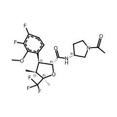 COc1c([C@H]2[C@H](C(=O)N[C@@H]3CCN(C(C)=O)C3)O[C@@](C)(C(F)(F)F)[C@H]2C)ccc(F)c1F